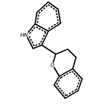 c1ccc2c(c1)CCC(c1c[nH]c3ccccc13)O2